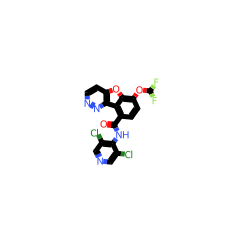 O=C(Nc1c(Cl)cncc1Cl)c1ccc(OC(F)F)c2oc3ccnnc3c12